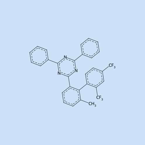 Cc1cccc(-c2nc(-c3ccccc3)nc(-c3ccccc3)n2)c1-c1ccc(C(F)(F)F)cc1C(F)(F)F